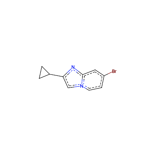 Brc1ccn2cc(C3CC3)nc2c1